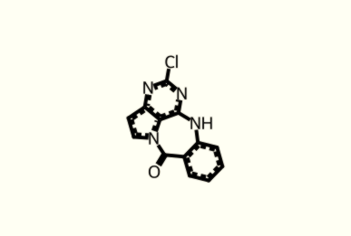 O=C1c2ccccc2Nc2nc(Cl)nc3ccn1c23